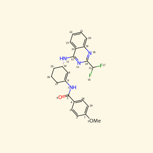 COc1ccc(C(=O)NC2=C[C@@H](Nc3nc(C(F)F)nc4ccccc34)CCC2)cc1